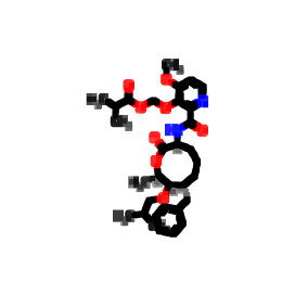 COc1ccnc(C(=O)N[C@H]2CCC[C@H](Cc3ccccc3)[C@@H](OCC(C)C)[C@H](C)OC2=O)c1OCOC(=O)C(C)C